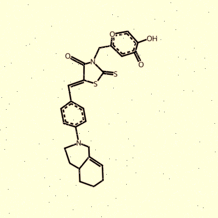 O=C1C(=Cc2ccc(N3CCC4CCCC=C4C3)cc2)SC(=S)N1Cc1cc(=O)c(O)co1